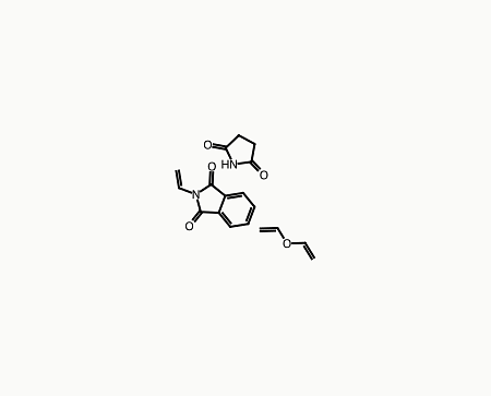 C=CN1C(=O)c2ccccc2C1=O.C=COC=C.O=C1CCC(=O)N1